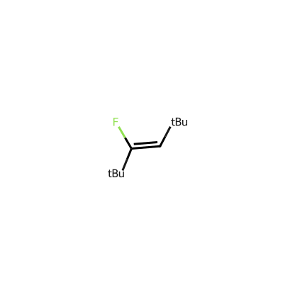 CC(C)(C)/C=C(\F)C(C)(C)C